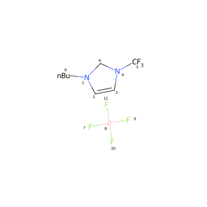 CCCCN1C=CN(C(F)(F)F)C1.F[B-](F)(F)F